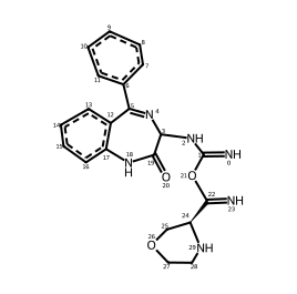 N=C(NC1N=C(c2ccccc2)c2ccccc2NC1=O)OC(=N)[C@@H]1COCCN1